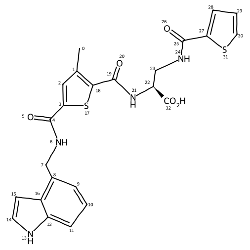 Cc1cc(C(=O)NCc2cccc3[nH]ccc23)sc1C(=O)N[C@@H](CNC(=O)c1cccs1)C(=O)O